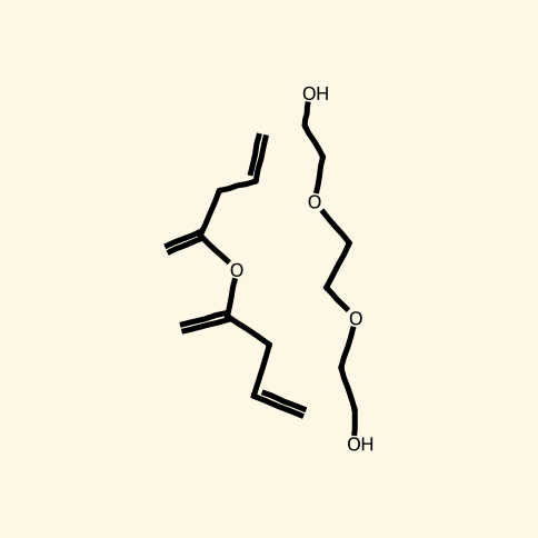 C=CCC(=C)OC(=C)CC=C.OCCOCCOCCO